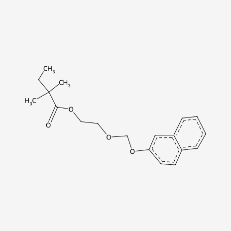 CCC(C)(C)C(=O)OCCOCOc1ccc2ccccc2c1